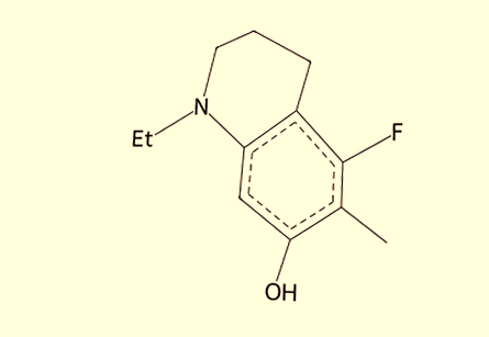 CCN1CCCc2c1cc(O)c(C)c2F